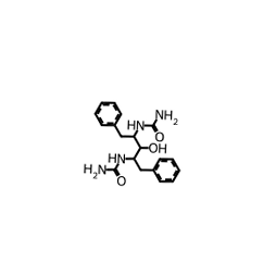 NC(=O)NC(Cc1ccccc1)C(O)C(Cc1ccccc1)NC(N)=O